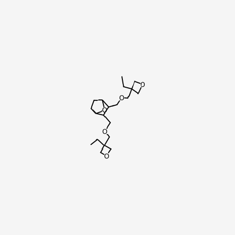 CCC1(COCC2C3CCC(O3)C2COCC2(CC)COC2)COC1